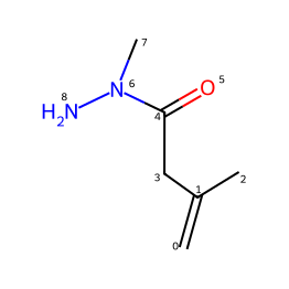 C=C(C)CC(=O)N(C)N